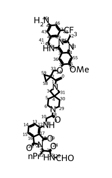 C=C(N1CC2(CCN(C(=O)CNc3cccc4c3C(=O)N(C(CCC)C(=O)NC=O)C4=O)CC2)C1)C1(COc2cc3c(N[C@H](C)c4cc(N)cc(C(F)(F)F)c4)nc(C)nc3cc2OC)CC1